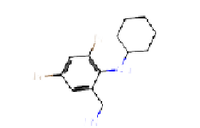 NCc1cc(Br)cc(Br)c1NC1CCCCC1